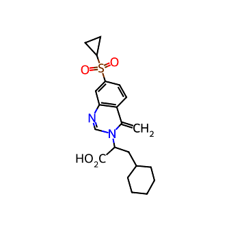 C=C1c2ccc(S(=O)(=O)C3CC3)cc2N=CN1C(CC1CCCCC1)C(=O)O